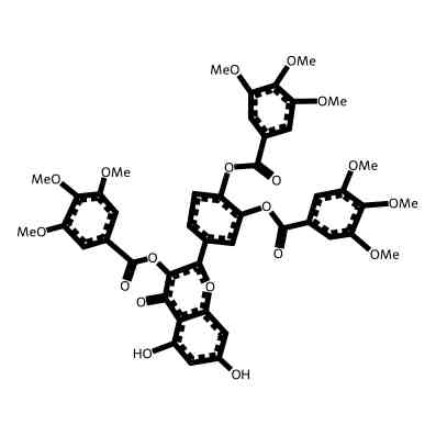 COc1cc(C(=O)Oc2ccc(-c3oc4cc(O)cc(O)c4c(=O)c3OC(=O)c3cc(OC)c(OC)c(OC)c3)cc2OC(=O)c2cc(OC)c(OC)c(OC)c2)cc(OC)c1OC